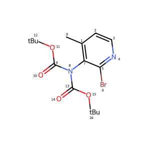 Cc1ccnc(Br)c1N(C(=O)OC(C)(C)C)C(=O)OC(C)(C)C